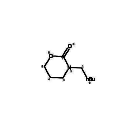 CCCCCN1CCCOC1=O